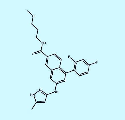 COCCCNC(=O)c1ccc2c(-c3ccc(F)cc3F)nc(Nc3cc(C)[nH]n3)cc2c1